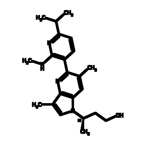 CNc1nc(C(C)C)ccc1-c1nc2c(C)cn([C@H](C)CCO)c2cc1C